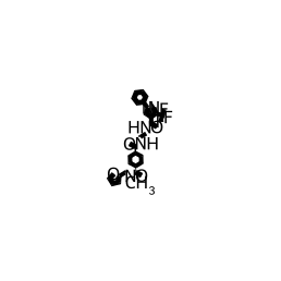 CN(Cc1ccco1)C(=O)[C@H]1CC[C@H](C(=O)NCCNC(=O)c2cn(-c3ccccc3)nc2C(F)(F)F)CC1